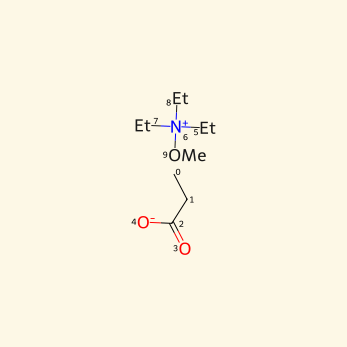 CCC(=O)[O-].CC[N+](CC)(CC)OC